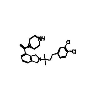 C=C(c1cccc2c1CN(C(C)(C)CCc1ccc(Cl)c(Cl)c1)C2)N1CCNCC1